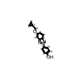 Oc1ccc(-n2nc3ccc(OCC4CC4)cc3n2)cc1